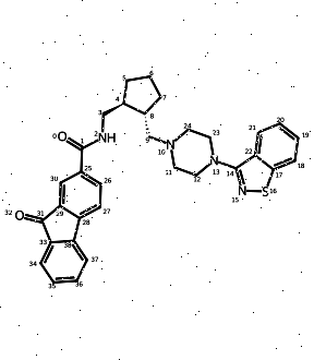 O=C(NC[C@H]1CCC[C@@H]1CN1CCN(c2nsc3ccccc23)CC1)c1ccc2c(c1)C(=O)c1ccccc1-2